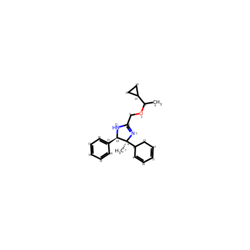 CC(OCC1=N[C@@](C)(C2C=CC=CC2)[C@@H](c2ccccc2)N1)C1CC1